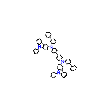 C1=CC(c2cccc(N(C3=Cc4c(n(-c5ccccc5)c5ccccc45)CC3)c3ccc(-c4ccc(N(c5cccc(-c6ccccc6)c5)c5ccc6c(c5)c5ccccc5n6-c5ccccc5)cc4)cc3)c2)=CCC1